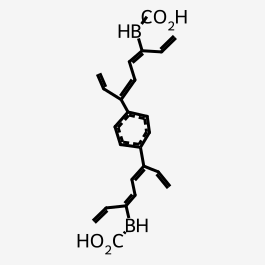 C=C/C(BC(=O)O)=C\C=C(/C=C)c1ccc(/C(C=C)=C/C=C(/BC(=O)O)C=C)cc1